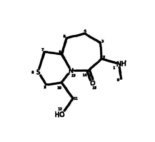 CNC1CCCC2CSCC(CO)N2C1=O